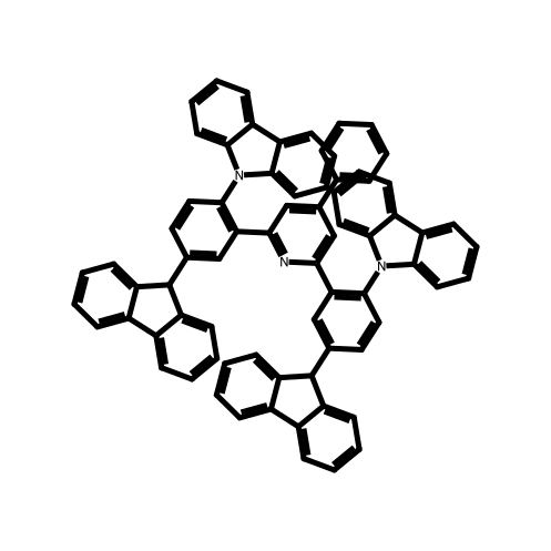 c1ccc(-c2cc(-c3cc(C4c5ccccc5-c5ccccc54)ccc3-n3c4ccccc4c4ccccc43)nc(-c3cc(C4c5ccccc5-c5ccccc54)ccc3-n3c4ccccc4c4ccccc43)c2)cc1